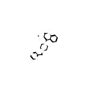 Cn1c(=O)c([N+](=O)[O-])c(N2CCN(C(=O)c3cnccn3)CC2)c2ccccc21